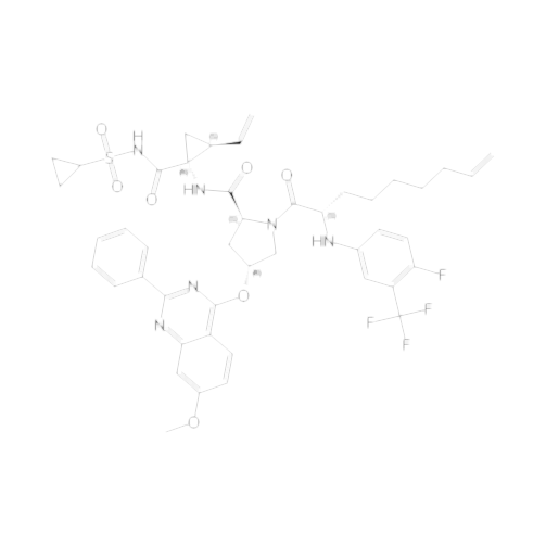 C=CCCCCC[C@H](Nc1ccc(F)c(C(F)(F)F)c1)C(=O)N1C[C@H](Oc2nc(-c3ccccc3)nc3cc(OC)ccc23)C[C@H]1C(=O)N[C@]1(C(=O)NS(=O)(=O)C2CC2)C[C@H]1C=C